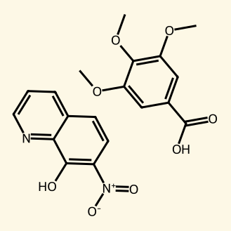 COc1cc(C(=O)O)cc(OC)c1OC.O=[N+]([O-])c1ccc2cccnc2c1O